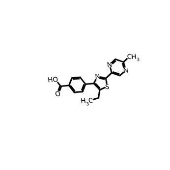 CCc1sc(-c2cnc(C)cn2)nc1-c1ccc(C(=O)O)cc1